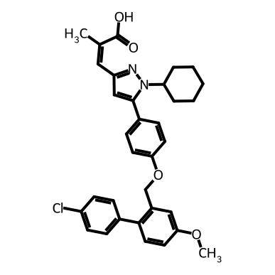 COc1ccc(-c2ccc(Cl)cc2)c(COc2ccc(-c3cc(C=C(C)C(=O)O)nn3C3CCCCC3)cc2)c1